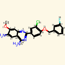 CCOc1cc2nc(-c3ccc(OCc4cccc(F)c4)c(Cl)c3)nc(N)c2cc1N